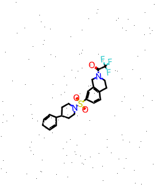 O=C(N1CCc2ccc(S(=O)(=O)N3CCC(C4C=CCC=C4)CC3)cc2C1)C(F)(F)F